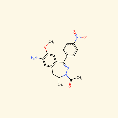 COc1cc2c(cc1N)CC(C)N(C(C)=O)N=C2c1ccc([N+](=O)[O-])cc1